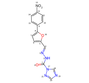 O=C(NN=Cc1ccc(-c2ccc([N+](=O)[O-])cc2)o1)n1cncn1